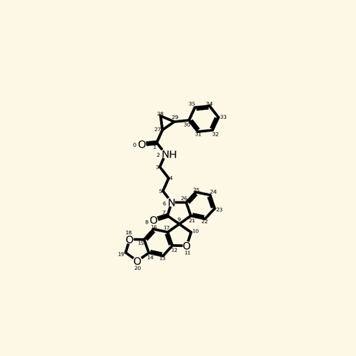 O=C(NCCCN1C(=O)C2(COc3cc4c(cc32)OCO4)c2ccccc21)C1CC1c1ccccc1